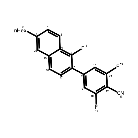 CCCCCCc1ccc2c(F)c(-c3cc(F)c(C#N)c(F)c3)ccc2c1